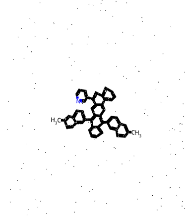 Cc1ccc2cc(-c3c4ccccc4c(-c4ccc5cc(C)ccc5c4)c4cc5c(cc34)c(-c3cccnc3)cc3ccccc35)ccc2c1